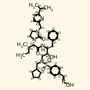 CC[C@H](C)[C@@H](C(=O)N[C@@H](Cc1ccccc1)[C@@H](O)CN(CC1CCCC1)S(=O)(=O)c1ccc(C=NO)cc1)N1CCN(Cc2csc(C(C)C)n2)C1=O